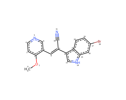 COc1ccncc1/C=C(\C#N)c1c[nH]c2cc(Br)ccc12